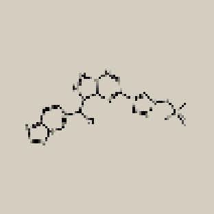 CP(C)(=O)Cn1cc(-c2cnc3nnn(C(Cl)c4ccc5nccn5c4)c3n2)cn1